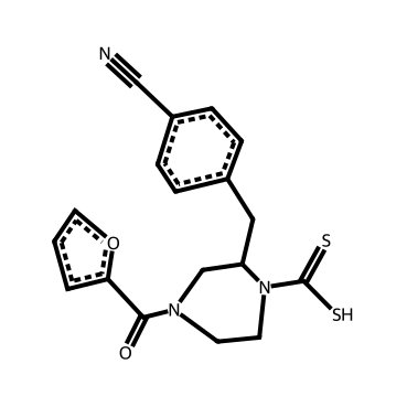 N#Cc1ccc(CC2CN(C(=O)c3ccco3)CCN2C(=S)S)cc1